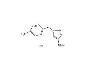 CNc1cnn(Cc2ccc(C(F)(F)F)cc2)c1.Cl